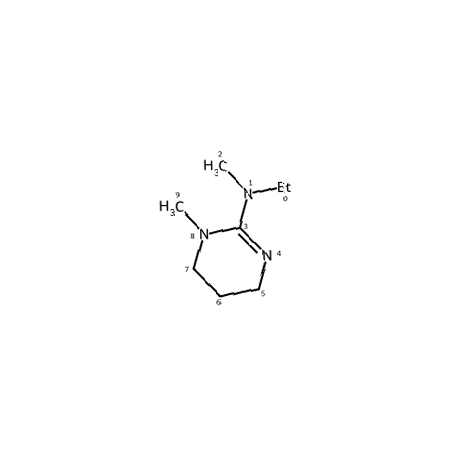 CCN(C)C1=NCCCN1C